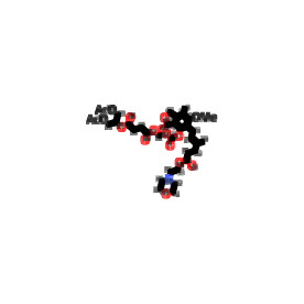 COc1c(C)c2c(c(OC(=O)OCOC(=O)CCC(=O)OC(COC(C)=O)COC(C)=O)c1C/C=C(\C)CCC(=O)OCCN1CCOCC1)C(=O)OC2